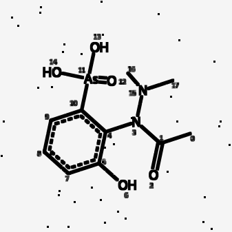 CC(=O)N(c1c(O)cccc1[As](=O)(O)O)N(C)C